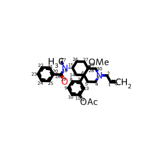 C=CCN1CCC2(c3cccc(OC(C)=O)c3)C[C@H](N(C)C(=O)c3ccccc3)CCC2(OC)C1